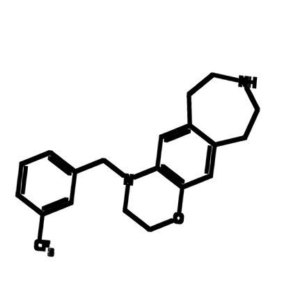 FC(F)(F)c1cccc(CN2CCOc3cc4c(cc32)CCNCC4)c1